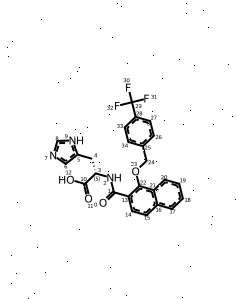 O=C(N[C@@H](Cc1cnc[nH]1)C(=O)O)c1ccc2ccccc2c1OCc1ccc(C(F)(F)F)cc1